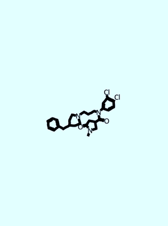 CN1CC(C(=O)N(CCCN2CCC(Cc3ccccc3)CC2)c2ccc(Cl)c(Cl)c2)CC1=O